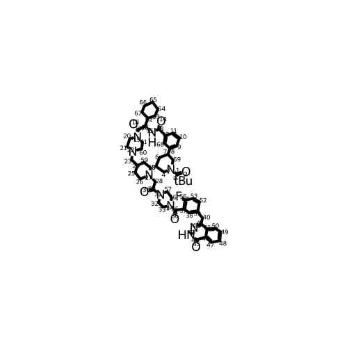 CC(C)(C)C(=O)N1CCCC(c2cccc(C(=O)N[C@@H](C(=O)N3CCN(CC4CCN(CC(=O)N5CCN(C(=O)c6cc(Cc7n[nH]c(=O)c8ccccc78)ccc6F)CC5)CC4)CC3)C3CCCCC3)c2)C1